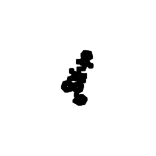 O=C(OCc1ccccc1)C(CCN1C(=O)c2ccccc2C1=O)NS(=O)(=O)c1ccc(Oc2ccccc2)cc1